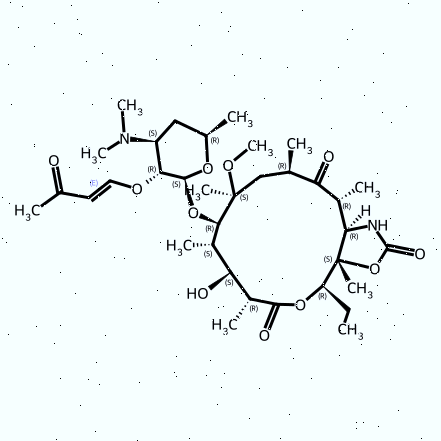 CC[C@H]1OC(=O)[C@H](C)[C@@H](O)[C@H](C)[C@@H](O[C@@H]2O[C@H](C)C[C@H](N(C)C)[C@H]2O/C=C/C(C)=O)[C@@](C)(OC)C[C@@H](C)C(=O)[C@H](C)[C@H]2NC(=O)O[C@@]21C